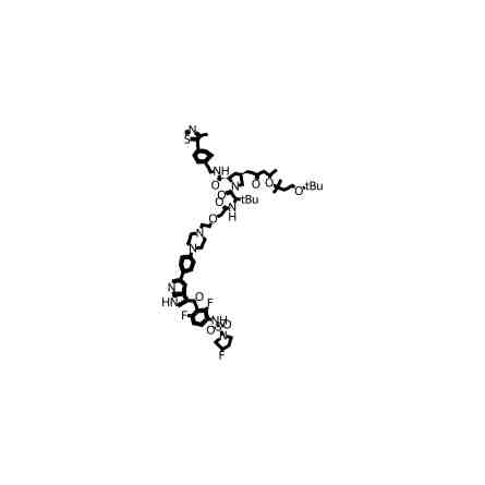 Cc1ncsc1-c1ccc(CNC(=O)[C@@H]2C[C@@H](CC(=O)CC(C)OC(C)(C)CCOC(C)(C)C)CN2C(=O)C(NC(=O)COCCN2CCN(c3ccc(-c4cnc5[nH]cc(C(=O)c6c(F)ccc(NS(=O)(=O)N7CC[C@@H](F)C7)c6F)c5c4)cc3)CC2)C(C)(C)C)cc1